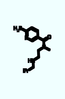 Bc1ccc(C(=O)N(C)CCNCC(C)C)cn1